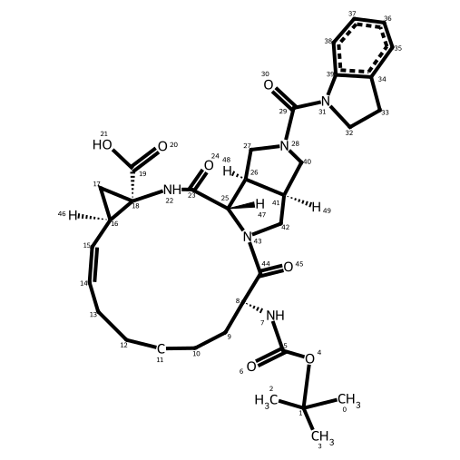 CC(C)(C)OC(=O)N[C@@H]1CCCCC/C=C\[C@H]2C[C@@]2(C(=O)O)NC(=O)[C@@H]2[C@H]3CN(C(=O)N4CCc5ccccc54)C[C@H]3CN2C1=O